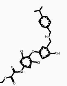 CCOC(=O)C(=O)Nc1cc(Cl)c(Oc2ccc(O)c(CNCc3ccc(C(C)C)cc3)c2)c(Cl)c1